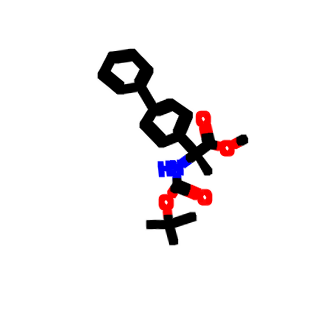 COC(=O)[C@](C)(NC(=O)OC(C)(C)C)c1ccc(-c2ccccc2)cc1